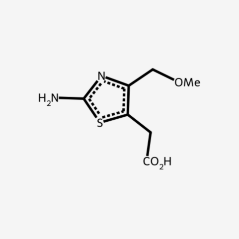 COCc1nc(N)sc1CC(=O)O